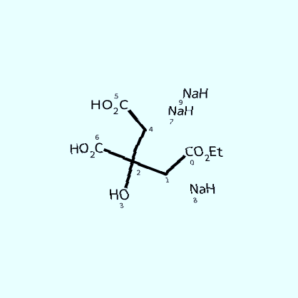 CCOC(=O)CC(O)(CC(=O)O)C(=O)O.[NaH].[NaH].[NaH]